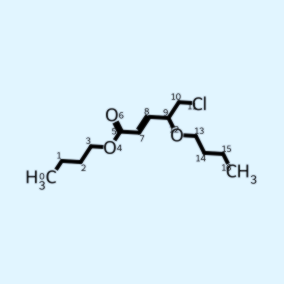 CCCCOC(=O)C=CC(CCl)OCCCC